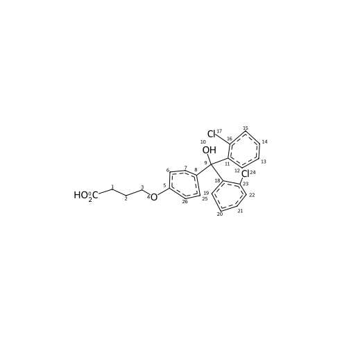 O=C(O)CCCOc1ccc(C(O)(c2ccccc2Cl)c2ccccc2Cl)cc1